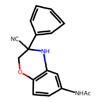 CC(=O)Nc1ccc2c(c1)NC(C#N)(c1ccccc1)CO2